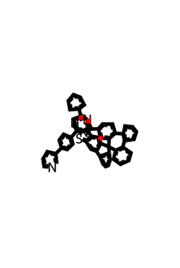 c1ccc(-c2nc(-c3ccc(-c4cccnc4)cc3)nc(-c3ccc4c(c3)C3(c5ccccc5-c5ccccc5-4)c4ccccc4-c4cc5sc6ccccc6c5cc43)n2)cc1